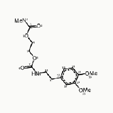 CNC(=O)OCCOC(=O)NCCc1ccc(OC)c(OC)c1